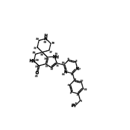 CC(C)Cc1ccc(-c2nccc(-c3cc4c([nH]3)C3(CCNCC3)CNC4=O)n2)cc1